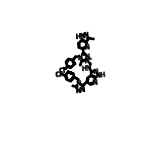 Cc1n[nH]c2ccc(-c3n[n+](CNc4n[nH]c5ncc(-c6nnc(C)n6Cc6ccc(Cl)cc6)cc45)c(C)n3Cc3ccc(Cl)cc3)nc12